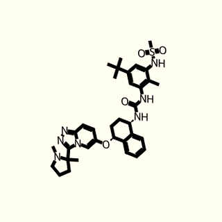 Cc1c(NC(=O)N[C@H]2CC[C@@H](Oc3ccc4nnc(C5(C)CCCN5C)n4c3)c3ccccc32)cc(C(C)(C)C)cc1NS(C)(=O)=O